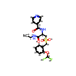 N#CCNC(=O)C(CS(=O)(=O)Cc1ccccc1OC(F)F)NC(=O)c1ccncc1